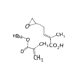 C=C(C)C(=O)OCCCC.CC(=CCC1CO1)C(=O)O